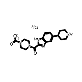 Cl.O=C(c1nc2cc(C3CCNCC3)ccc2[nH]1)N1CCN(C(=O)C(F)(F)F)CC1